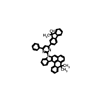 CC1(C)c2ccccc2-c2ccc(-c3cc(-c4ccccc4)nc(-n4c5ccccc5c5c6c7c(cccc7cc54)C(C)(C)c4ccccc4-6)n3)cc21